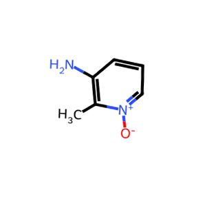 Cc1c(N)ccc[n+]1[O-]